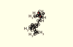 CCC(C)(C)C(=O)C(=O)N1CCCC[C@H]1C(=O)O[C@H](CCc1ccc(OC)c(OC)c1)c1cccc(NC(=O)CCC(=O)NCCC(=O)N[C@@H](Cc2ccccc2)[C@H](O)CN(CC(C)C)S(=O)(=O)c2ccc(OC)cc2)c1